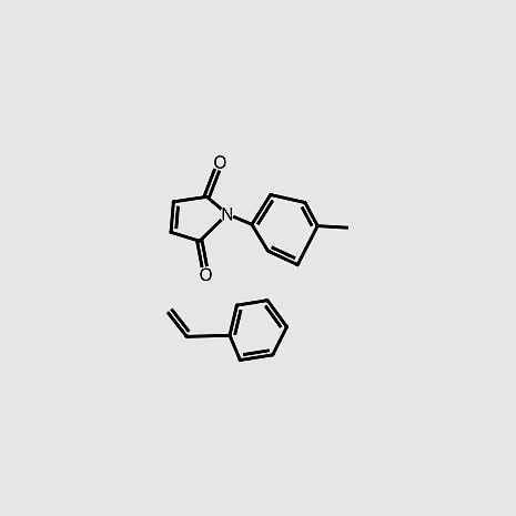 C=Cc1ccccc1.Cc1ccc(N2C(=O)C=CC2=O)cc1